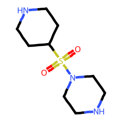 O=S(=O)([C]1CCNCC1)N1CCNCC1